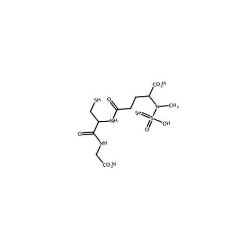 CN(C(CCC(=O)NC(CS)C(=O)NCC(=O)O)C(=O)O)S(=O)(O)=[Se]